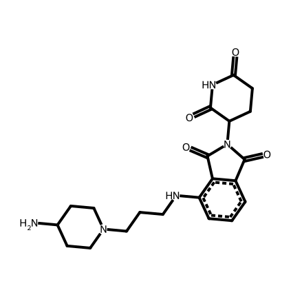 NC1CCN(CCCNc2cccc3c2C(=O)N(C2CCC(=O)NC2=O)C3=O)CC1